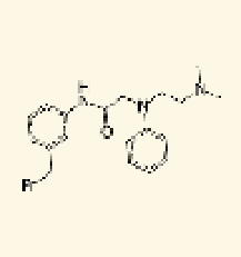 CC(C)Cc1cccc(NC(=O)CN(CCN(C)C)c2ccccc2)c1